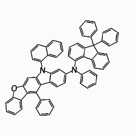 c1ccc(-c2c3c(cc4c2c2ccc(N(c5ccccc5)c5cccc6c5-c5ccccc5C6(c5ccccc5)c5ccccc5)cc2n4-c2cccc4ccccc24)oc2ccccc23)cc1